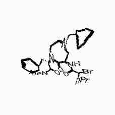 CCCC(Br)C(=O)NC1CN(Cc2ccccc2)CCN([C@@H](Cc2ccccc2)C(=O)NC)C1=O